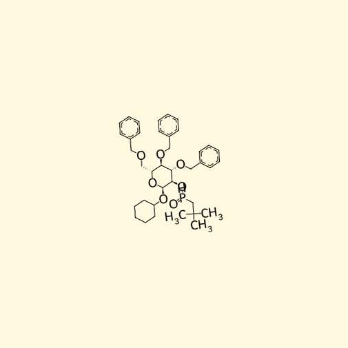 CC(C)(C)C[PH](=O)O[C@H]1[C@@H](OC2CCCCC2)O[C@H](COCc2ccccc2)[C@@H](OCc2ccccc2)[C@@H]1OCc1ccccc1